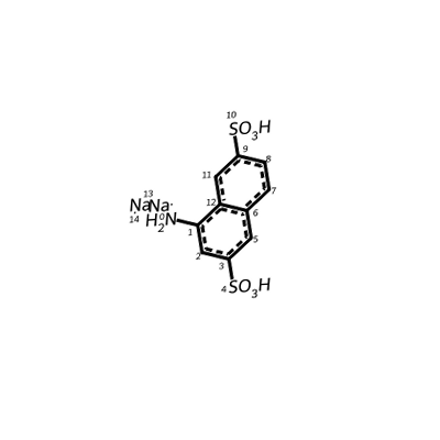 Nc1cc(S(=O)(=O)O)cc2ccc(S(=O)(=O)O)cc12.[Na].[Na]